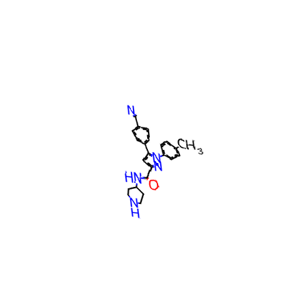 Cc1ccc(-n2nc(C(=O)NC3CCNCC3)cc2-c2ccc(C#N)cc2)cc1